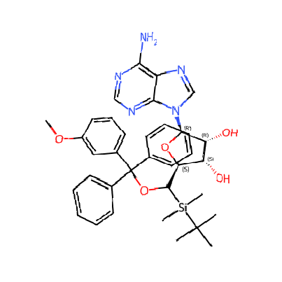 COc1cccc(C(OC([C@H]2O[C@@H](n3cnc4c(N)ncnc43)[C@H](O)[C@@H]2O)[Si](C)(C)C(C)(C)C)(c2ccccc2)c2ccccc2)c1